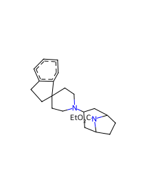 CCOC(=O)N1C2CCC1CC(N1CCC3(CCc4ccccc43)CC1)C2